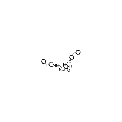 O=c1[nH]c(COc2ccc(Cc3ccccc3)cc2)nc2c(CNCC3CCN(Cc4ccccc4)CC3)nccc12